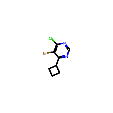 Clc1ncnc(C2CCC2)c1Br